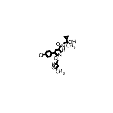 Cc1cc(COc2ncc(C(=O)NCC(C)(O)C3CC3)cc2-c2ccc(Cl)cc2)no1